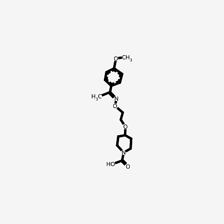 COc1ccc(C(C)=NOCCOC2CCN(C(=O)O)CC2)cc1